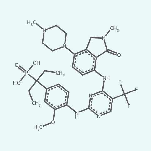 CCC(CC)(c1ccc(Nc2ncc(C(F)(F)F)c(Nc3ccc(N4CCN(C)CC4)c4c3C(=O)N(C)C4)n2)c(OC)c1)P(=O)(O)O